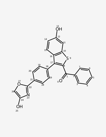 O=C(c1ccccc1)c1sc2cc(O)ccc2c1-c1ccc(-c2nc(O)co2)cc1